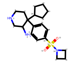 NC1CNCCC1(c1ccc(S(=O)(=O)N2CCC2)cc1)C1CCCC1